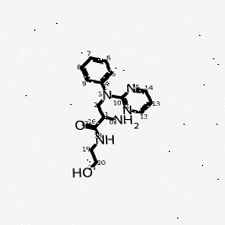 NC(CN(c1ccccc1)c1ncccn1)C(=O)NCCO